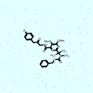 COc1nc(C(C)(C)N(C)C(=O)OCc2ccccc2)nc(C(=O)NCC(=O)Cc2ccc(F)cc2)c1OC